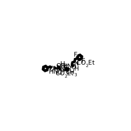 CCOC(=O)NC(CC(=O)NCC(C)(C)CNC(=O)C(O)C(COCc1ccccc1)NC(=O)OCC)Cc1cc(F)ccc1F